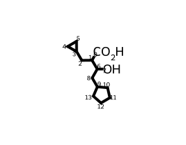 O=C(O)C(CC1CC1)C(O)CC1CCCC1